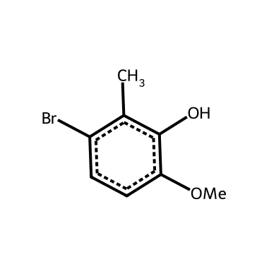 COc1ccc(Br)c(C)c1O